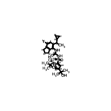 CC(c1cc(F)c2c(c1NC(=O)NS(=O)(=N[Si](C)(C)C(C)(C)C)c1cc(C(C)(C)O)co1)CCC2)C1CC1